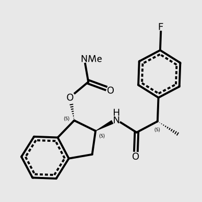 CNC(=O)O[C@H]1c2ccccc2C[C@@H]1NC(=O)[C@@H](C)c1ccc(F)cc1